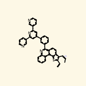 C=Cc1sc2c(ccc3c(-c4cccc(-c5cc(-c6cccnc6)nc(-c6cccnc6)c5)c4)nc4ccccc4c32)c1/C=C\C